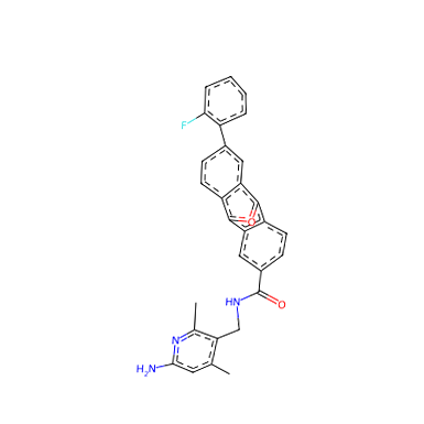 Cc1cc(N)nc(C)c1CNC(=O)c1ccc2c(c1)c1oc2c2cc(-c3ccccc3F)ccc21